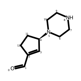 O=CC1=C[C@H](N2CCNCC2)CC1